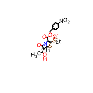 CC[S+]([O-])C1=C(C(=O)OCc2ccc([N+](=O)[O-])cc2)N2C(=O)[C@H](C(C)O)[C@H]2S1